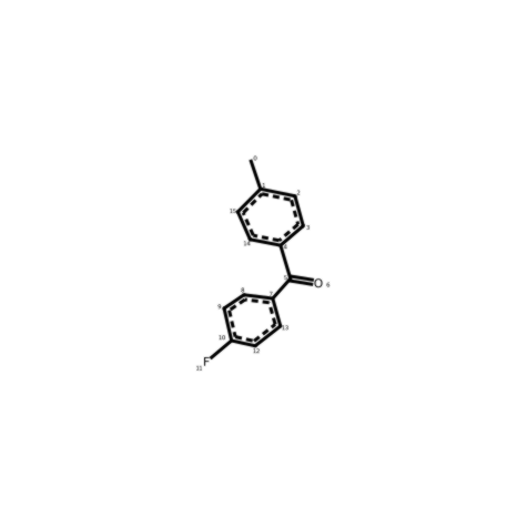 Cc1ccc(C(=O)c2ccc(F)cc2)cc1